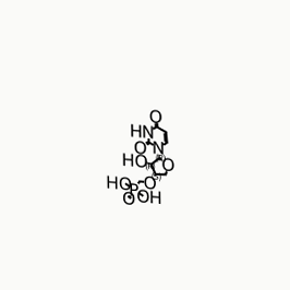 O=c1ccn([C@@H]2OC[C@H](OCP(=O)(O)O)[C@H]2O)c(=O)[nH]1